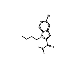 CCCCn1c(C(=O)N(C)C)cc2cc(Br)ncc21